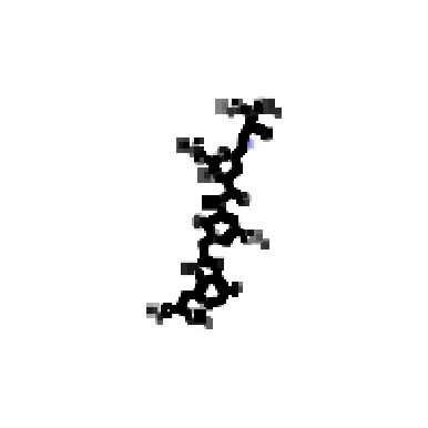 COC(=O)NC(CC/C=C/C(=O)N(C)C)C(=O)Nc1cc(C)cn(Cc2nc3c(F)cnc(CC(C)C)c3[nH]2)c1=O